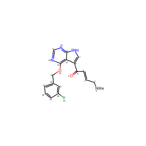 CNCC=CC(=O)c1c[nH]c2ncnc(OCc3cccc(F)c3)c12